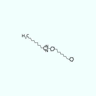 CCCCCCCCCCc1cnc(-c2ccc(CCCCCCCCc3ccccc3)cc2)nc1